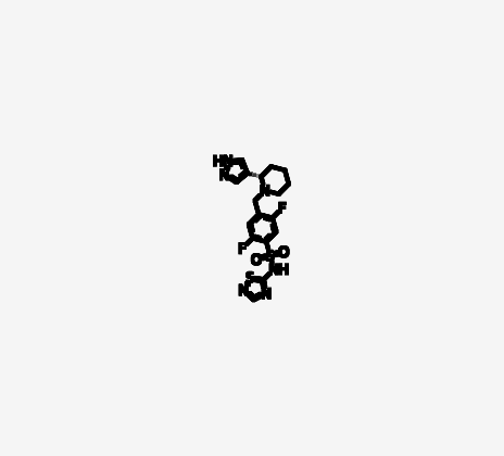 O=S(=O)(Nc1ncns1)c1cc(F)c(CN2CCCC[C@H]2c2cn[nH]c2)cc1F